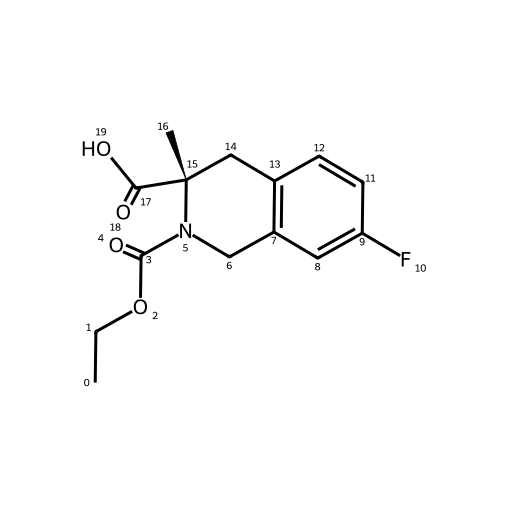 CCOC(=O)N1Cc2cc(F)ccc2C[C@@]1(C)C(=O)O